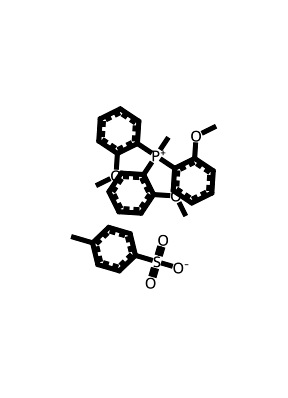 COc1ccccc1[P+](C)(c1ccccc1OC)c1ccccc1OC.Cc1ccc(S(=O)(=O)[O-])cc1